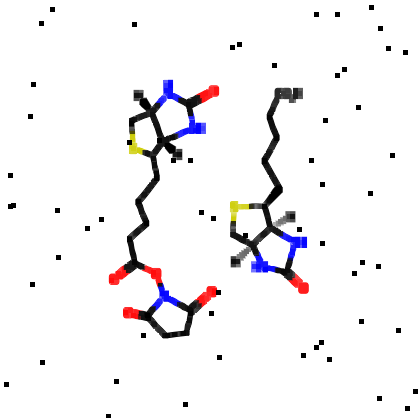 O=C(O)CCCC[C@@H]1SC[C@@H]2NC(=O)N[C@@H]21.O=C1N[C@H]2CSC(CCCCC(=O)ON3C(=O)CCC3=O)[C@H]2N1